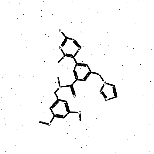 COc1cc(CN(C)C(=O)c2cc(Cn3ccnc3)cc(-c3ccc(F)nc3C)c2)cc(OC)c1